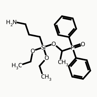 CCO[Si](CCCN)(OCC)OC(C)P(=O)(c1ccccc1)c1ccccc1